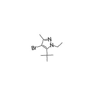 CCn1nc(C)c(Br)c1C(C)(C)C